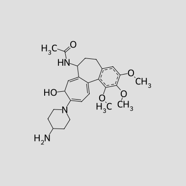 COc1cc2c(c(OC)c1OC)C1=CC=C(N3CCC(N)CC3)C(O)C=C1C(NC(C)=O)CC2